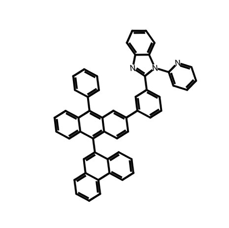 c1ccc(-c2c3ccccc3c(-c3cc4ccccc4c4ccccc34)c3ccc(-c4cccc(-c5nc6ccccc6n5-c5ccccn5)c4)cc23)cc1